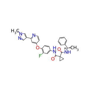 C[C@@H](NC(=O)C1(C(=O)Nc2ccc(Oc3ccnc(-c4cnn(C)c4)c3)c(F)c2)CC1)c1ccccc1